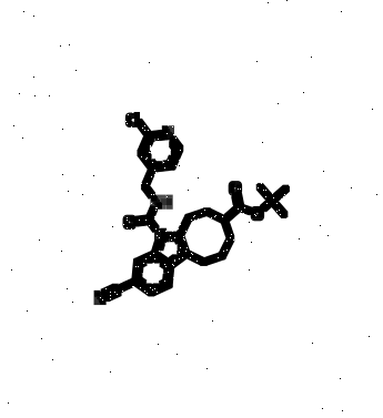 CC(C)(C)OC(=O)C1CCCc2c(n(C(=O)NCc3ccnc(Cl)c3)c3cc(C#N)ccc23)CC1